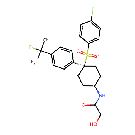 O=C(CO)N[C@H]1CC[C@@](c2ccc(C(F)(C(F)(F)F)C(F)(F)F)cc2)(S(=O)(=O)c2ccc(F)cc2)CC1